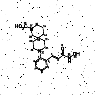 O=C(/C=C/c1ccccc1N1CCC2(CCCN(C(=O)O)C2)CC1)NO